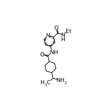 CCNC(=O)c1cc(NC(=O)C2CCC(C(C)N)CC2)ccn1